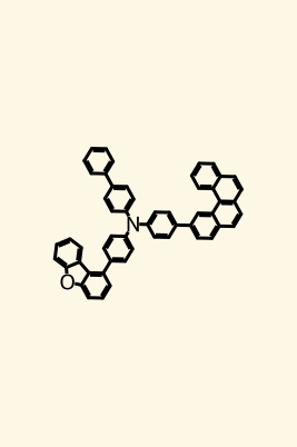 c1ccc(-c2ccc(N(c3ccc(-c4ccc5ccc6ccc7ccccc7c6c5c4)cc3)c3ccc(-c4cccc5oc6ccccc6c45)cc3)cc2)cc1